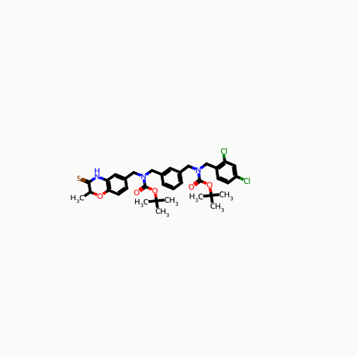 CC1Oc2ccc(CN(Cc3cccc(CN(Cc4ccc(Cl)cc4Cl)C(=O)OC(C)(C)C)c3)C(=O)OC(C)(C)C)cc2NC1=S